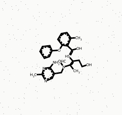 C/C(=C(CCO)/[SH]=C(\O)c1c(C)cccc1Oc1ccccc1)N(C=O)Cc1cnc(C)nc1N